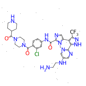 Cn1c(-c2c(C(F)(F)F)n[nH]c2-c2ncc(NCCN)cn2)cnc1C(=O)Nc1ccc(C(=O)N2CCN(C(=O)C3CCNCC3)CC2)c(Cl)c1